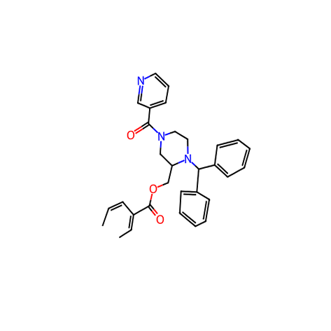 C/C=C\C(=C/C)C(=O)OCC1CN(C(=O)c2cccnc2)CCN1C(c1ccccc1)c1ccccc1